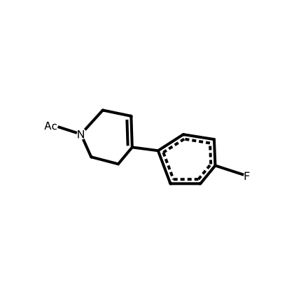 CC(=O)N1CC=C(c2ccc(F)cc2)CC1